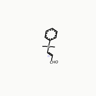 C[Si](C)(/C=C/C=O)c1ccccc1